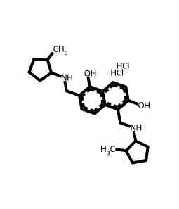 CC1CCCC1NCc1ccc2c(CNC3CCCC3C)c(O)ccc2c1O.Cl.Cl